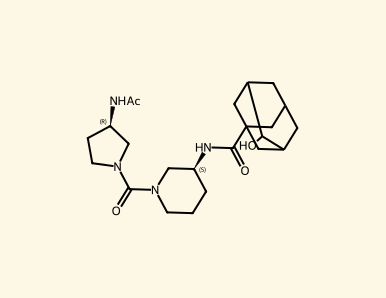 CC(=O)N[C@@H]1CCN(C(=O)N2CCC[C@H](NC(=O)C34CC5CC(C3)C(O)C(C5)C4)C2)C1